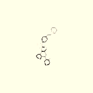 Fc1ccccc1C1Cc2cnc(Nc3ccc(CCN4CCCCC4)cc3)nc2-c2ccccc21